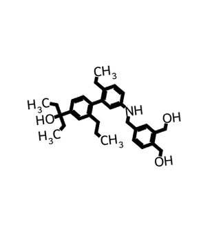 CCCc1cc(C(O)(CC)CC)ccc1-c1cc(NCc2ccc(CO)c(CO)c2)ccc1CC